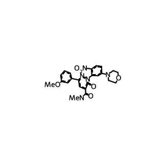 CNC(=O)c1cc(-c2cccc(OC)c2)nn(-c2cc(N3CCOCC3)ccc2[N+](=O)[O-])c1=O